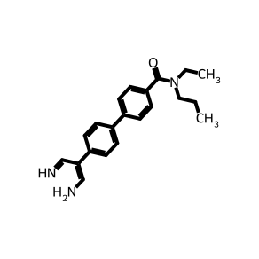 CCCN(CC)C(=O)c1ccc(-c2ccc(/C(C=N)=C/N)cc2)cc1